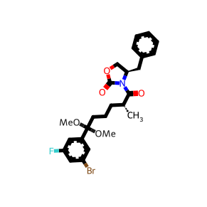 COC(CCC[C@@H](C)C(=O)N1C(=O)OC[C@H]1Cc1ccccc1)(OC)c1cc(F)cc(Br)c1